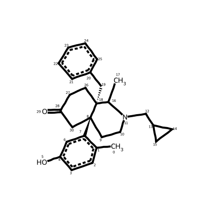 Cc1ccc(O)cc1[C@]12CCN(CC3CC3)C(C)[C@]1(Cc1ccccc1)CCC(=O)C2